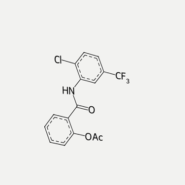 CC(=O)Oc1ccccc1C(=O)Nc1cc(C(F)(F)F)ccc1Cl